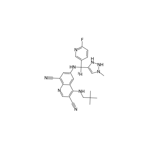 [2H]C(Nc1cc(C#N)c2ncc(C#N)c(NCC(C)(C)C)c2c1)(C1=CN(C)NN1)c1ccc(F)nc1